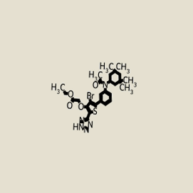 CCOC(=O)COc1c(-c2nn[nH]n2)sc(-c2cccc(N(C(C)=O)C3CC(C)(C)CC(C)(C)C3)c2)c1Br